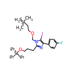 CC(C)[Si](OCCCc1nc(-c2ccc(F)cc2)c(I)n1COCC[Si](C)(C)C)(C(C)C)C(C)C